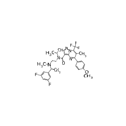 COc1ccc(-c2nc3c(C(=O)N(CCN(C)[C@@H](C)c4cc(F)cc(F)c4)C(C)C)cnn3c(C(F)(F)F)c2C)cc1